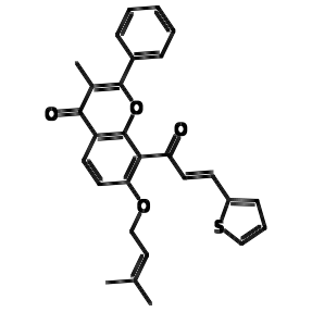 CC(C)=CCOc1ccc2c(=O)c(C)c(-c3ccccc3)oc2c1C(=O)C=Cc1cccs1